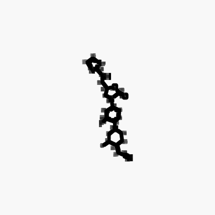 CC1CN(c2ccc(N3CC(CNc4nccs4)OC3=O)cc2F)CCC1=CC#N